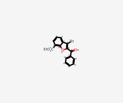 CCOC(=O)c1cccc2c(CC)c(C(=O)c3ccccc3)oc12